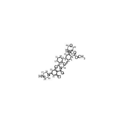 COC(=O)c1cc(F)c(-c2cccc3c2OCN(C(=O)c2c(Cl)cc(N4CCNCC4)cc2Cl)C3)cc1N1C2CCC1COC2